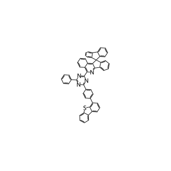 c1ccc(-c2nc(-c3ccc(-c4cccc5c4sc4ccccc45)cc3)nc(-c3nc4c(c5ccccc35)C3(c5ccccc5-c5ccccc53)c3ccccc3-4)n2)cc1